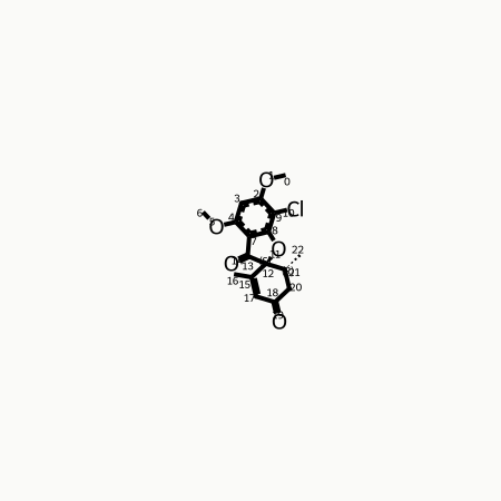 COc1cc(OC)c2c(c1Cl)O[C@]1(C2=O)C(C)=CC(=O)C[C@H]1C